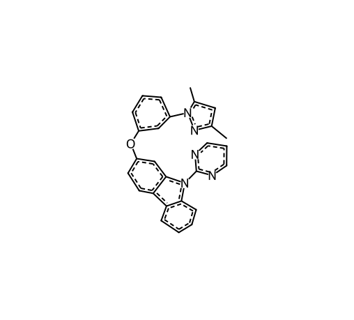 Cc1cc(C)n(-c2cccc(Oc3ccc4c5ccccc5n(-c5ncccn5)c4c3)c2)n1